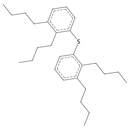 CCCCc1cccc(Sc2cccc(CCCC)c2CCCC)c1CCCC